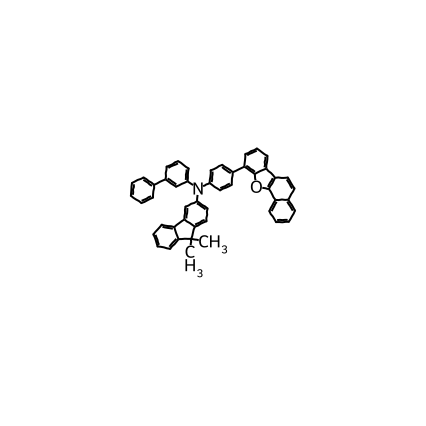 CC1(C)c2ccccc2-c2cc(N(c3ccc(-c4cccc5c4oc4c6ccccc6ccc54)cc3)c3cccc(-c4ccccc4)c3)ccc21